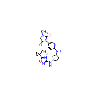 CN1CC(=O)N(c2ccc(N[C@H]3CC[C@H](Nc4noc(C5(C)CC5)n4)C3)nc2)C1=O